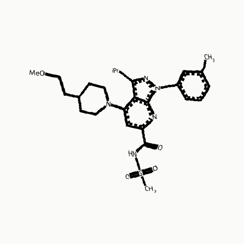 COCCC1CCN(c2cc(C(=O)NS(C)(=O)=O)nc3c2c(C(C)C)nn3-c2cccc(C)c2)CC1